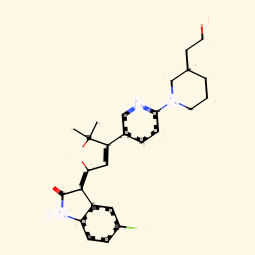 CC1(C)OC(=C2C(=O)Nc3ccc(F)cc32)C=C1c1ccc(N2CCCC(CCO)C2)nc1